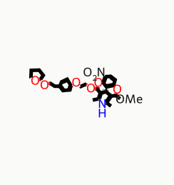 COC(=O)C1=C(C)NC(C)=C(C(=O)OCCOc2ccc(CCOC3CCCCO3)cc2)[C@H]1c1cccc([N+](=O)[O-])c1